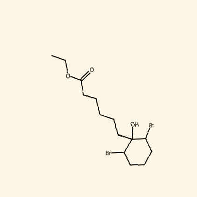 CCOC(=O)CCCCCC1(O)C(Br)CCCC1Br